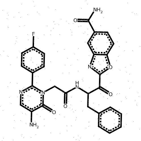 NC(=O)c1ccc2oc(C(=O)C(Cc3ccccc3)NC(=O)Cn3c(-c4ccc(F)cc4)ncc(N)c3=O)nc2c1